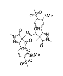 CSc1cc(C2=NN(C)C(=O)C2(C)N(O)C(=O)ON(C(=O)OC(C)(C)C)C2(C)C(=O)N(C)N=C2c2ccc(S(C)(=O)=O)c(SC)c2)ccc1S(C)(=O)=O